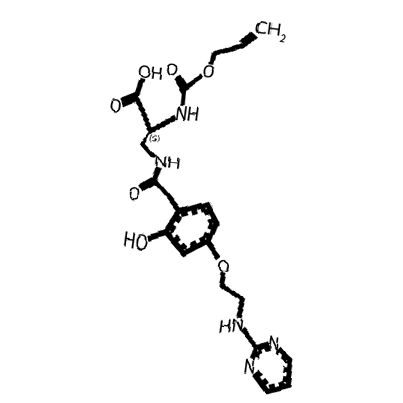 C=CCOC(=O)N[C@@H](CNC(=O)c1ccc(OCCNc2ncccn2)cc1O)C(=O)O